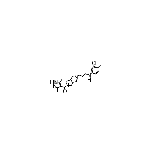 Cc1ccc(NCCCN2CC3CN(C(=O)c4c(C)n[nH]c4C)CC3C2)cc1Cl